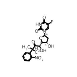 CC(C)(C(=O)C(O)[C@H]1O[C@@H](n2cc(F)c(=O)[nH]c2=O)C[C@@H]1O)c1ccccc1[N+](=O)[O-]